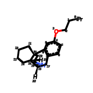 CC(C)C[CH]Oc1ccc2c(c1)[C@@]13CCCC[C@H]1[C@@H](C2)NCC3